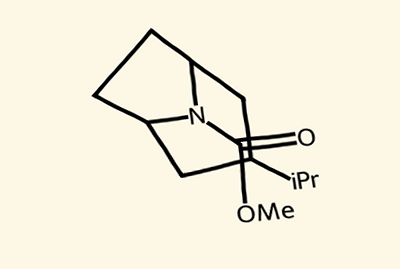 COC(=O)N1C2CCC1CC(C(C)C)C2